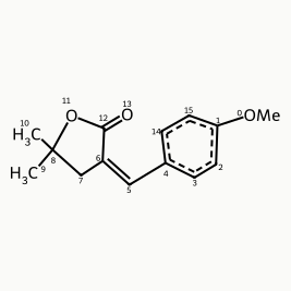 COc1ccc(C=C2CC(C)(C)OC2=O)cc1